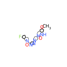 COc1ccc2c(c1)CCN(C1CCN(c3cc(C(=O)N4CCc5ccc(F)cc5C4)ncn3)CC1)C(=O)N2